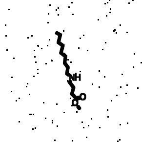 CCCCCCCCCNCCCC(=O)OC